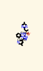 COc1cccc(OC)c1-n1c(N[S+]([O-])C(C)Cc2ncc(C)cn2)nnc1-c1cncc(C)c1